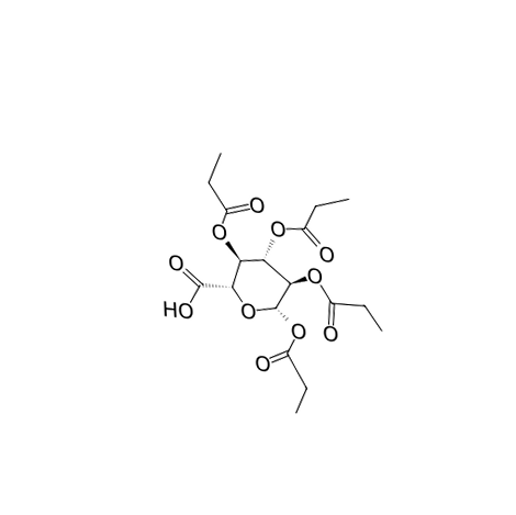 CCC(=O)O[C@@H]1O[C@H](C(=O)O)[C@@H](OC(=O)CC)[C@H](OC(=O)CC)[C@H]1OC(=O)CC